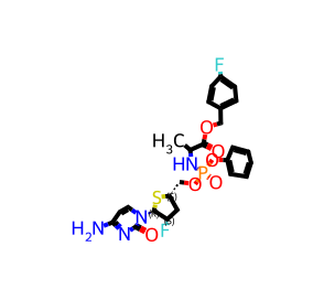 CC(NP(=O)(OC[C@@H]1C[C@H](F)[C@H](n2ccc(N)nc2=O)S1)Oc1ccccc1)C(=O)OCc1ccc(F)cc1